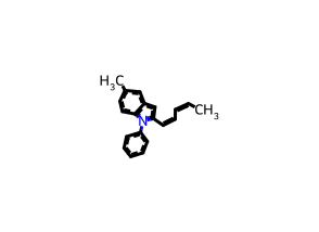 C/C=C\C=C/c1cc2cc(C)ccc2n1-c1ccccc1